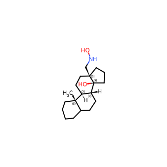 C[C@]12CCCCC1CC[C@@H]1[C@@H]2CC[C@]2(CNO)CCC[C@]12O